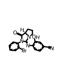 N#Cc1ccc(/N=C2/N(c3ccccc3Br)C(=O)[C@H]3CCCN23)c(O)c1